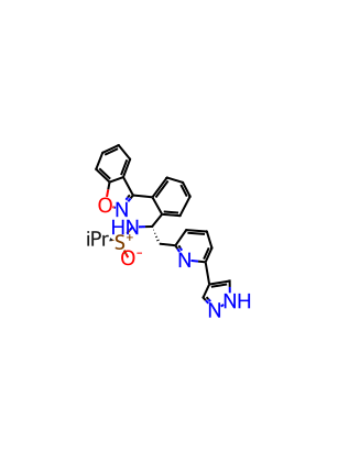 CC(C)[S@+]([O-])N[C@@H](Cc1cccc(-c2cn[nH]c2)n1)c1ccccc1-c1noc2ccccc12